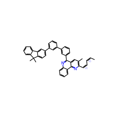 C/C=C\C=C/c1nc2c(cc1C)c(-c1cccc(-c3cccc(-c4ccc5c(c4)-c4ccccc4C5(C)C)c3)c1)nc1ccccc12